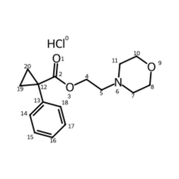 Cl.O=C(OCCN1CCOCC1)C1(c2ccccc2)CC1